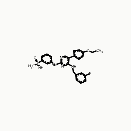 CCOc1ccc(-c2cnc(Nc3cccc(S(C)(=N)=O)c3)nc2NCc2cccc(F)c2)cc1